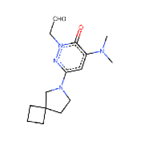 CN(C)c1cc(N2CCC3(CCC3)C2)nn(CC=O)c1=O